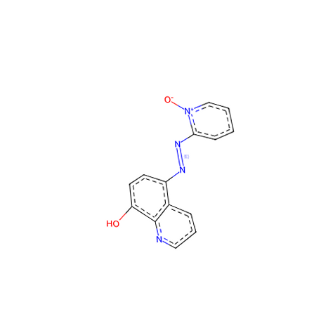 [O-][n+]1ccccc1/N=N/c1ccc(O)c2ncccc12